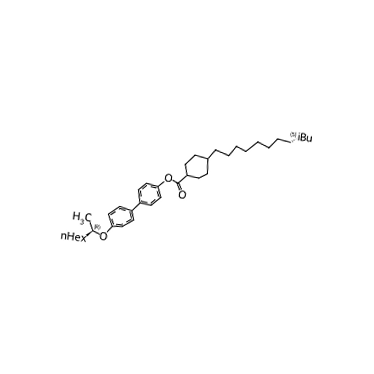 CCCCCC[C@@H](C)Oc1ccc(-c2ccc(OC(=O)C3CCC(CCCCCCCC[C@@H](C)CC)CC3)cc2)cc1